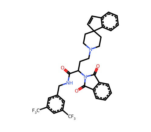 O=C(NCc1cc(C(F)(F)F)cc(C(F)(F)F)c1)C(CCN1CCC2(C=Cc3ccccc32)CC1)N1C(=O)c2ccccc2C1=O